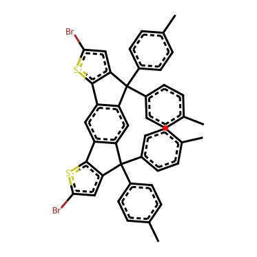 Cc1ccc(C2(c3ccc(C)cc3)c3cc4c(cc3-c3sc(Br)cc32)-c2sc(Br)cc2C4(c2ccc(C)cc2)c2ccc(C)cc2)cc1